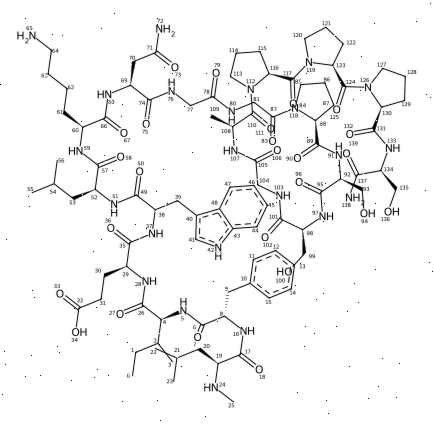 CCC(C)[C@H](NC(=O)[C@H](Cc1ccccc1)NC(=O)[C@H](CC(C)C)NC)C(=O)N[C@@H](CCC(=O)O)C(=O)NC(Cc1c[nH]c2ccccc12)C(=O)N[C@@H](CC(C)C)C(=O)N[C@@H](CCCCN)C(=O)N[C@@H](CC(N)=O)C(=O)NCC(=O)NCC(=O)N1CCC[C@H]1C(=O)N[C@@H](CO)C(=O)N[C@@H](CO)C(=O)NCC(=O)N[C@@H](C)C(=O)N1CCC[C@H]1C(=O)N1CCC[C@H]1C(=O)N1CCC[C@H]1C(=O)N[C@@H](CO)C(N)=O